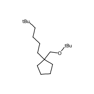 CC(C)(C)CCCCC1(COC(C)(C)C)CCCC1